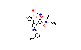 C#Cc1cccc(CNC[C@@H](O)[C@H](Cc2cc(F)cc(F)c2)NC(=O)c2cc(C(=O)N(CCC)CCC)cc(S(=O)(=O)NCCO)c2)c1